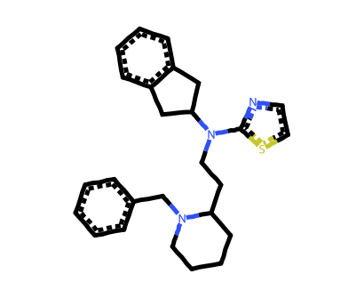 c1ccc(CN2CCCCC2CCN(c2nccs2)C2Cc3ccccc3C2)cc1